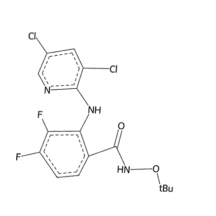 CC(C)(C)ONC(=O)c1ccc(F)c(F)c1Nc1ncc(Cl)cc1Cl